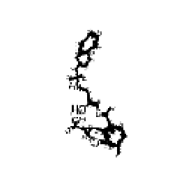 Cc1ccc(C(C)OC[C@H](O)CNC(C)(C)Cc2ccc3ccccc3c2)c2c1OC1C(C(=O)O)C21